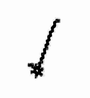 O=C(O)C1(CCOCCOCCOCCCCCCCCCCCS)C(F)=C(F)C(F)=C(F)C1F